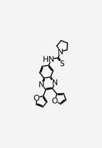 S=C(Nc1ccc2nc(-c3ccco3)c(-c3ccco3)nc2c1)N1CCCC1